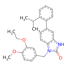 CCOc1cc(Cn2c(=O)[nH]c3cc(-c4ccccc4C(C)C)ccc32)ccc1OC